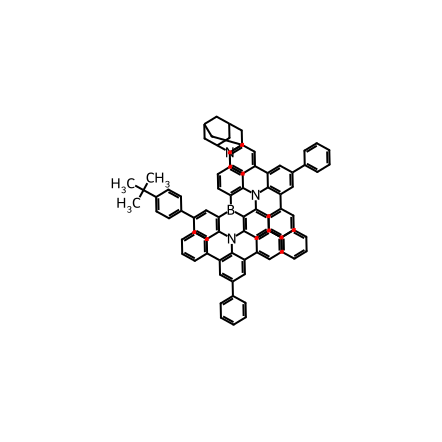 CC(C)(C)c1ccc(-c2ccc3c(c2)B2c4ccc(N5C6CC7CC(C6)CC5C7)cc4N(c4c(-c5ccccc5)cc(-c5ccccc5)cc4-c4ccccc4)c4cc(-c5ccccc5)cc(c42)N3c2c(-c3ccccc3)cc(-c3ccccc3)cc2-c2ccccc2)cc1